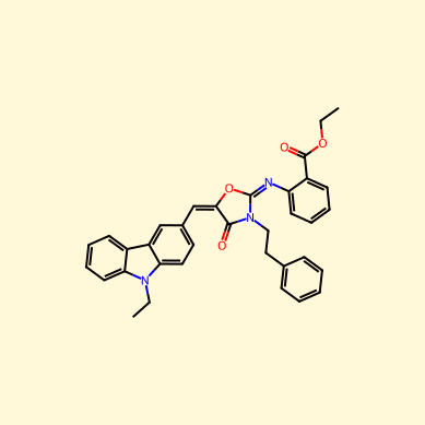 CCOC(=O)c1ccccc1N=C1O/C(=C/c2ccc3c(c2)c2ccccc2n3CC)C(=O)N1CCc1ccccc1